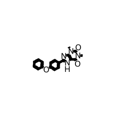 Cn1c(=O)c2[nH]c(-c3ccc(Oc4ccccc4)cc3)nc2n(C)c1=O